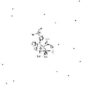 CC(=O)C(C(=O)OC(C)C)(C(C)C)C(C)C